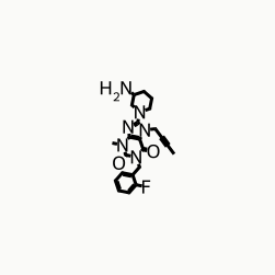 CC#CCn1c(N2CCCC(N)C2)nc2c1c(=O)n(Cc1ccccc1F)c(=O)n2C